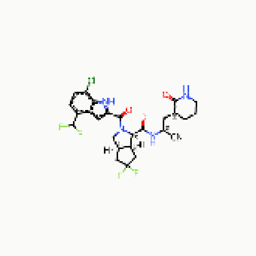 N#C[C@H](C[C@@H]1CCCNC1=O)NC(=O)[C@H]1[C@H]2CC(F)(F)C[C@H]2CN1C(=O)c1cc2c(C(F)F)ccc(Cl)c2[nH]1